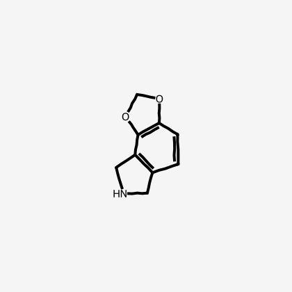 c1cc2c(c3c1CNC3)OCO2